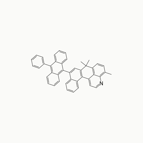 Cc1ccc2c3c(ccnc13)-c1c(cc(-c3c4ccccc4c(-c4ccccc4)c4ccccc34)c3ccccc13)C2(C)C